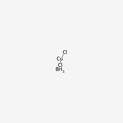 B.[Cl][Cu][Cl]